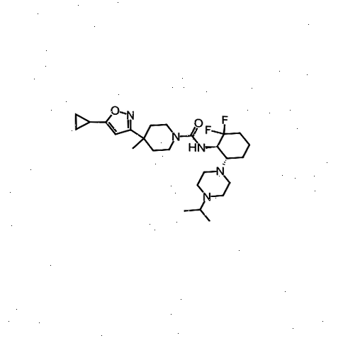 CC(C)N1CCN([C@H]2CCCC(F)(F)[C@@H]2NC(=O)N2CCC(C)(c3cc(C4CC4)on3)CC2)CC1